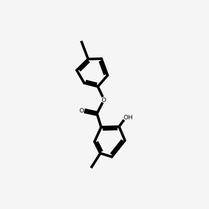 Cc1ccc(OC(=O)c2cc(C)ccc2O)cc1